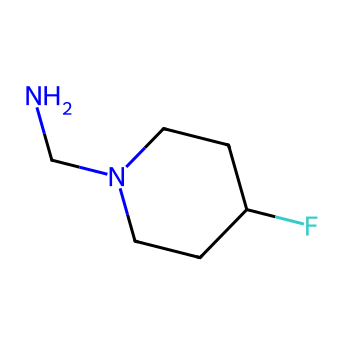 NCN1CCC(F)CC1